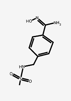 CS(=O)(=O)NCc1ccc(/C(N)=N\O)cc1